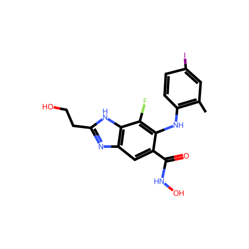 Cc1cc(I)ccc1Nc1c(C(=O)NO)cc2nc(CCO)[nH]c2c1F